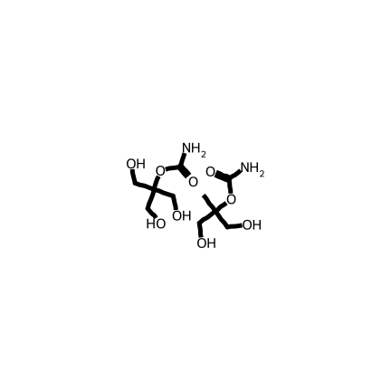 CC(CO)(CO)OC(N)=O.NC(=O)OC(CO)(CO)CO